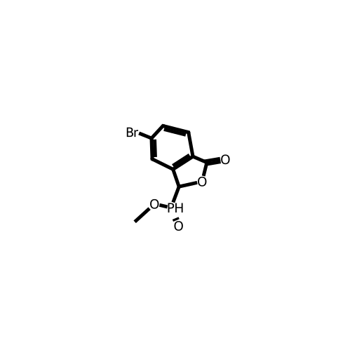 CO[PH](=O)C1OC(=O)c2ccc(Br)cc21